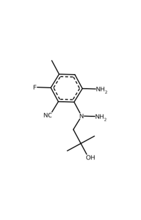 Cc1cc(N)c(N(N)CC(C)(C)O)c(C#N)c1F